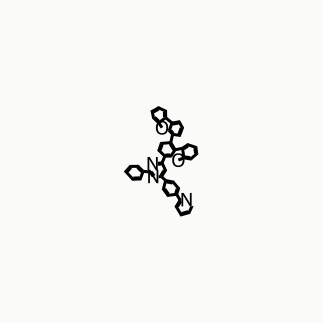 c1ccc(-c2nc(-c3ccc(-c4ccccn4)cc3)cc(-c3ccc(-c4cccc5c4oc4ccccc45)c4c3oc3ccccc34)n2)cc1